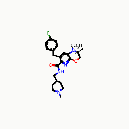 C[C@H]1COc2nc(C(=O)NCC3CCN(C)CC3)c(Cc3ccc(F)cc3)cc2N1C(=O)O